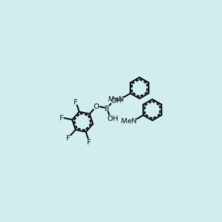 CNc1ccccc1.CNc1ccccc1.OB(O)Oc1cc(F)c(F)c(F)c1F